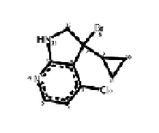 Clc1ccnc2c1C(Br)(C1CC1)CN2